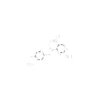 CCCN1CCN(Cc2ncc(C)c(OC)c2C)c2nc(N)ncc21